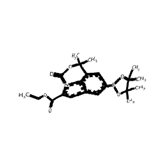 CCOC(=O)c1cc2cc(B3OC(C)(C)C(C)(C)O3)cc3c2n1C(=O)OC3(C)C